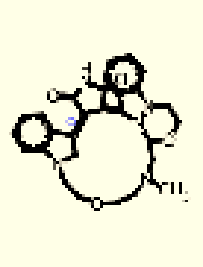 CN1CCOCCN2C/C(=C3\C(=O)NC(=O)C3=C3c4ccccc4N4CCOC(C1)N34)c1ccccc12